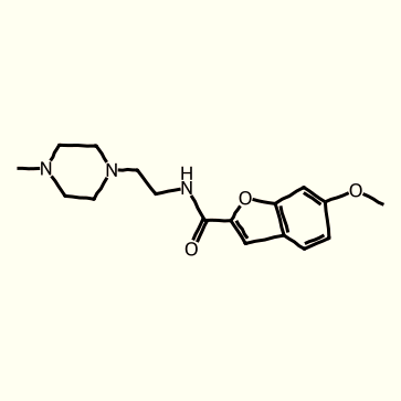 COc1ccc2cc(C(=O)NCCN3CCN(C)CC3)oc2c1